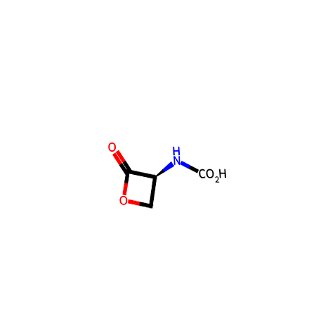 O=C(O)N[C@H]1COC1=O